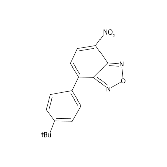 CC(C)(C)c1ccc(-c2ccc([N+](=O)[O-])c3nonc23)cc1